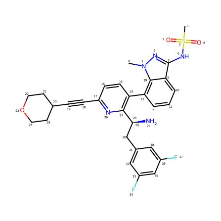 Cn1nc(NS(C)(=O)=O)c2cccc(-c3ccc(C#CC4CCOCC4)nc3[C@@H](N)Cc3cc(F)cc(F)c3)c21